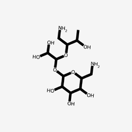 CC(O)C(CN)OC(OC1OC(CN)C(O)C(O)C1O)C(O)O